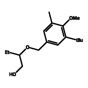 CCC(CO)OCc1cc(C)c(OC)c(C(C)(C)C)c1